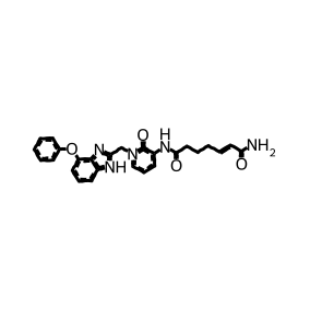 NC(=O)/C=C/CCCC(=O)Nc1cccn(Cc2nc3c(Oc4ccccc4)cccc3[nH]2)c1=O